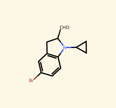 O=CC1Cc2cc(Br)ccc2N1C1CC1